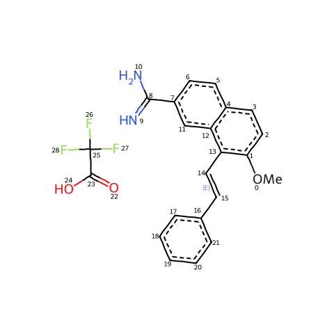 COc1ccc2ccc(C(=N)N)cc2c1/C=C/c1ccccc1.O=C(O)C(F)(F)F